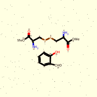 COC(=O)C(N)CSSCC(N)C(=O)OC.O=Cc1ccccc1O